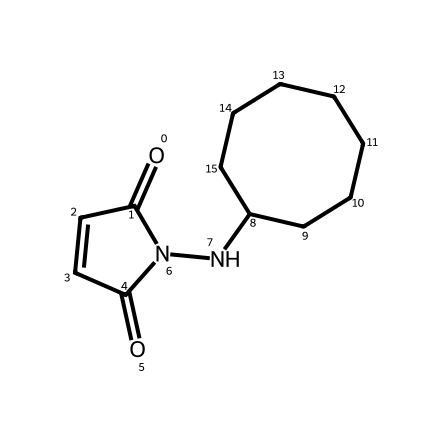 O=C1C=CC(=O)N1NC1CCCCCCC1